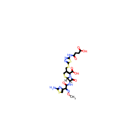 CON=C(C(=O)N[C@@H]1C(=O)N2C(C(=O)O)=C(CSc3nnc(NC(=O)CCC(=O)O)s3)CS[C@@H]12)c1csc(N)n1